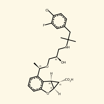 C[C@@H](OC[C@H](O)CNC(C)(C)Cc1ccc(Cl)c(F)c1)c1cccc2c1[C@@H]1[C@H](O2)[C@H]1C(=O)O